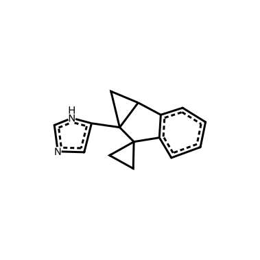 c1ccc2c(c1)C1CC1(c1cnc[nH]1)C21CC1